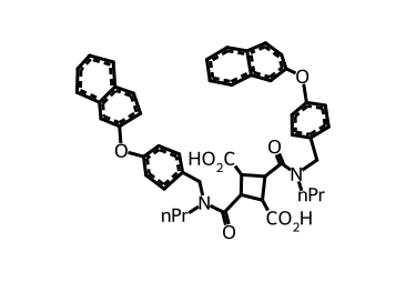 CCCN(Cc1ccc(Oc2ccc3ccccc3c2)cc1)C(=O)C1C(C(=O)O)C(C(=O)N(CCC)Cc2ccc(Oc3ccc4ccccc4c3)cc2)C1C(=O)O